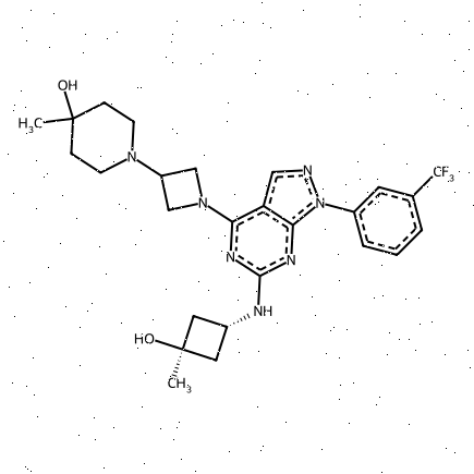 CC1(O)CCN(C2CN(c3nc(N[C@H]4C[C@](C)(O)C4)nc4c3cnn4-c3cccc(C(F)(F)F)c3)C2)CC1